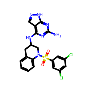 Nc1nc(NC2Cc3ccccc3N(S(=O)(=O)c3cc(Cl)cc(Cl)c3)C2)c2cn[nH]c2n1